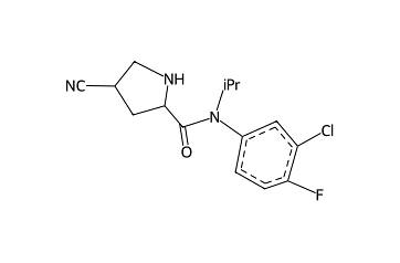 CC(C)N(C(=O)C1CC(C#N)CN1)c1ccc(F)c(Cl)c1